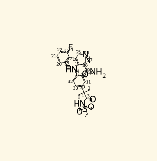 CC(C)(C(=O)NS(C)(=O)=O)c1ccc(Nc2c(-c3c(F)cccc3F)cnnc2C(N)=O)cc1